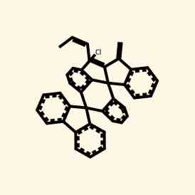 C=C1/C(=C\C=C/C)C2(c3ccccc31)c1ccccc1C1(c3ccccc3-c3ccccc31)c1cccc(Cl)c12